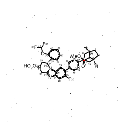 COC(=O)C1[C@@H]2CC[C@H]1CN(c1ncc(-c3cc4c(cc3F)nc3n4[C@H](c4ccccc4OC(F)F)CN(C(=O)O)C3)cn1)C2